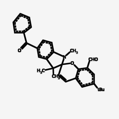 CN1c2ccc(C(=O)c3ccccc3)cc2C(C)(C)C12C=Cc1cc(C(C)(C)C)cc(C=O)c1O2